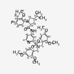 COc1ccc(CN(Cc2ccc(OC)cc2OC)S(=O)(=O)c2cc(NC(=O)C3CC(C(C)C)CN3c3ccc(F)c(F)c3OC)ccn2)c(OC)c1